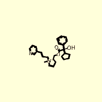 C[N+]1(CCCc2cccnc2)CCCC1COC(=O)[C@](O)(c1ccccc1)C1CCCC1